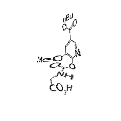 CCCCOC(=O)c1cnc(OC(=O)NCC(=O)O)c(OC)c1